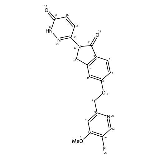 COc1cc(COc2ccc3c(c2)CN(c2ccc(=O)[nH]n2)C3=O)ncc1F